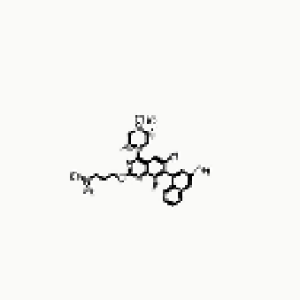 CCN(CC)CCCOc1nc(N2C[C@@H](C)N(C=O)C[C@@H]2C)c2cc(Cl)c(-c3cc(O)cc4ccccc34)c(F)c2n1